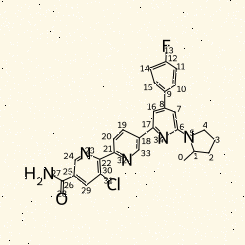 CC1CCCN1c1cc(-c2ccc(F)cc2)cc(-c2ccc(-c3ncc(C(N)=O)cc3Cl)nc2)n1